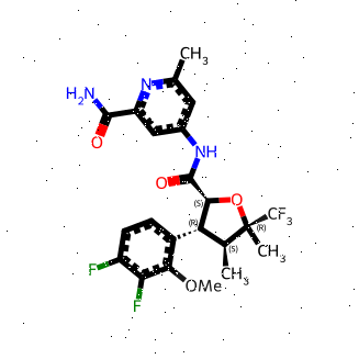 COc1c([C@@H]2[C@@H](C(=O)Nc3cc(C)nc(C(N)=O)c3)O[C@@](C)(C(F)(F)F)[C@H]2C)ccc(F)c1F